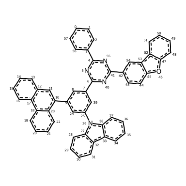 c1ccc(-c2nc(-c3cc(-c4cc5ccccc5c5ccccc45)cc(-n4c5ccccc5c5ccccc54)c3)nc(-c3ccc4oc5ccccc5c4c3)n2)cc1